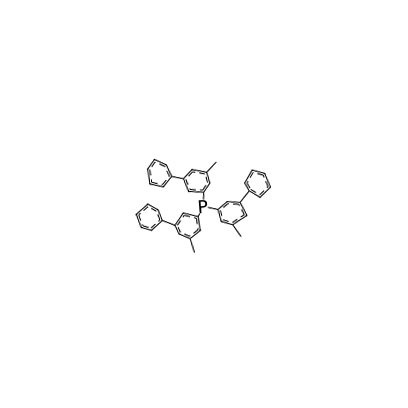 Cc1cc(-c2ccccc2)cc(P(c2cc(C)cc(-c3ccccc3)c2)c2cc(C)cc(-c3ccccc3)c2)c1